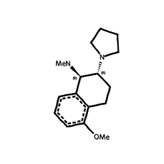 CN[C@@H]1c2cccc(OC)c2CC[C@H]1N1CCCC1